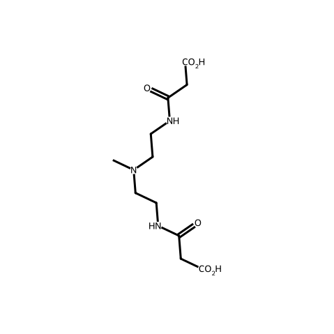 CN(CCNC(=O)CC(=O)O)CCNC(=O)CC(=O)O